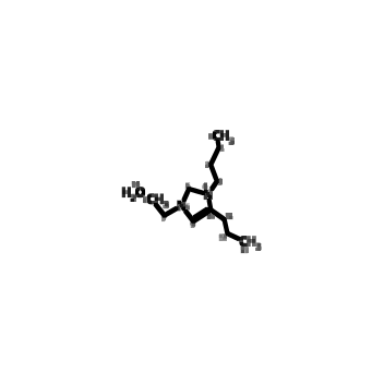 CCCCN1CN(CC)C=C1CCC.O